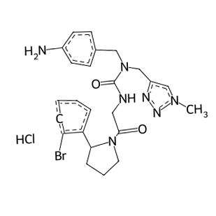 Cl.Cn1cc(CN(Cc2ccc(N)cc2)C(=O)NCC(=O)N2CCCC2c2ccccc2Br)nn1